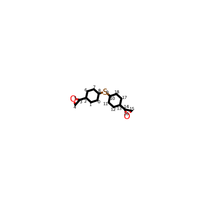 C1CC(C2CO2)CCC1SC1CCC(C2CO2)CC1